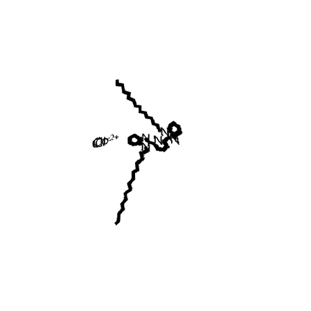 CCCCCCCCCCCCCCCCn1c(-c2cccc(-c3nc4ccccc4n3CCCCCCCCCCCCCCCC)n2)nc2ccccc21.[Cl-].[Cl-].[Co+2]